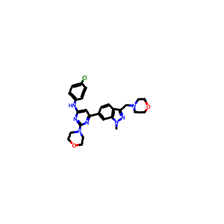 Cn1nc(CN2CCOCC2)c2ccc(-c3cc(Nc4ccc(Cl)cc4)nc(N4CCOCC4)n3)cc21